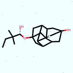 CCC(C)(C)[C@H](O)OC12CC3C4CC5(O)CC3C(C1)C(C5)C4C2